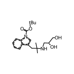 CC(C)(Cc1cn(C(=O)OC(C)(C)C)c2ccccc12)NC[C@H](O)CO